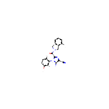 Cc1cccc2c1CN(C(=O)c1nc(C#N)c(N)n1-c1c(C)ccc(O)c1C)C2